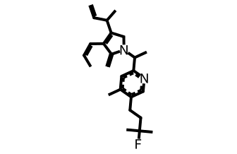 C=CC(C)C1=C(/C=C\C)C(=C)N(C(C)c2cc(C)c(CCC(C)(C)F)cn2)C1